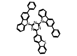 c1ccc(-c2ccc3c4ccccc4n(-c4nc(-c5ccc6c(c5)sc5ccccc56)nc(-n5c6ccccc6c6ccc(-c7ccccc7)cc65)n4)c3c2)cc1